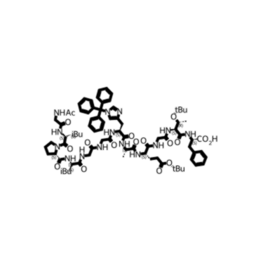 CC[C@H](C)[C@H](NC(=O)[C@@H]1CCCN1C(=O)[C@@H](NC(=O)CNC(C)=O)[C@@H](C)CC)C(=O)NCC(=O)NCC(=O)N[C@@H](Cc1cn(C(c2ccccc2)(c2ccccc2)c2ccccc2)cn1)C(=O)N[C@@H](C)C(=O)N[C@@H](CCC(=O)OC(C)(C)C)C(=O)NCC(=O)N[C@H](C(=O)N[C@@H](Cc1ccccc1)C(=O)O)[C@@H](C)OC(C)(C)C